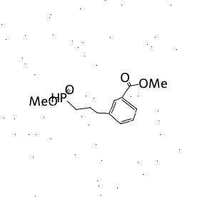 COC(=O)c1cccc(CCC[PH](=O)OC)c1